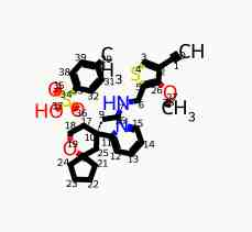 C#Cc1csc(CNCC[C@@]2(c3ccccn3)CCOC3(CCCC3)C2)c1OC.Cc1ccc(S(=O)(=O)O)cc1